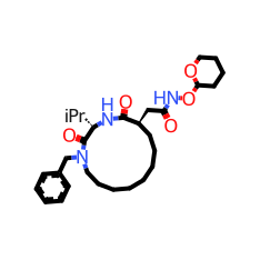 CC(C)[C@@H]1NC(=O)[C@@H](CC(=O)NOC2CCCCO2)CCCCCCCCN(Cc2ccccc2)C1=O